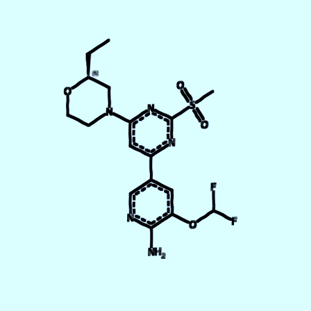 CC[C@H]1CN(c2cc(-c3cnc(N)c(OC(F)F)c3)nc(S(C)(=O)=O)n2)CCO1